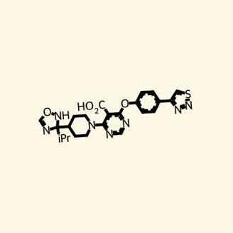 CC(C)C1(C2CCN(c3ncnc(Oc4ccc(-c5csnn5)cc4)c3C(=O)O)CC2)N=CON1